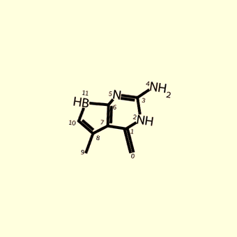 C=C1NC(N)=NC2=C1C(C)=CB2